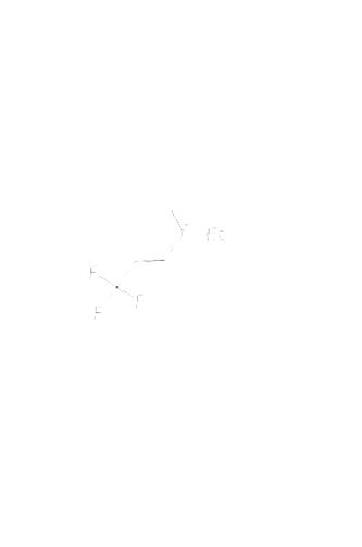 CC[C@@H](C)CCC(F)(F)F